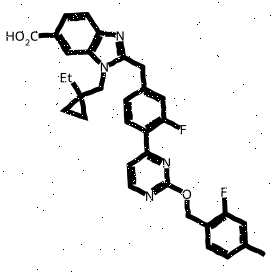 CCC1(Cn2c(Cc3ccc(-c4ccnc(OCc5ccc(C)cc5F)n4)c(F)c3)nc3ccc(C(=O)O)cc32)CC1